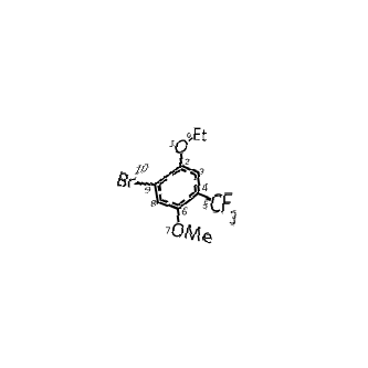 CCOc1cc(C(F)(F)F)c(OC)cc1Br